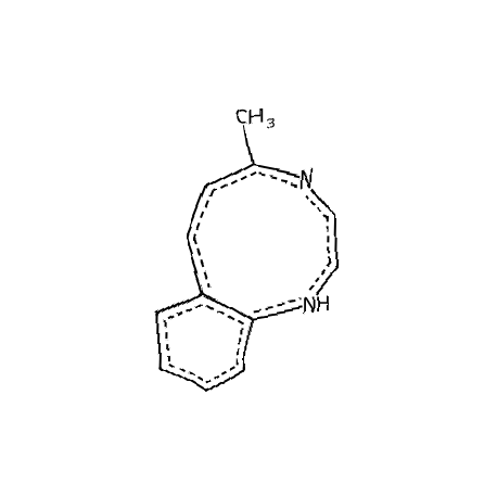 Cc1ccc2ccccc2[nH]ccn1